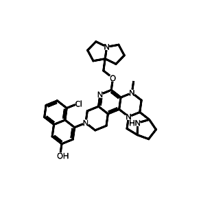 CN1CC2C3CCC(CN2c2c4c(nc(OCC56CCCN5CCC6)c21)CN(c1cc(O)cc2cccc(Cl)c12)CC4)N3